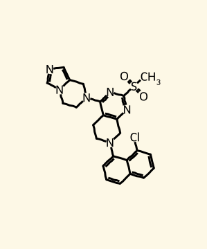 CS(=O)(=O)c1nc2c(c(N3CCn4cncc4C3)n1)CCN(c1cccc3cccc(Cl)c13)C2